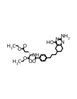 CCOC(=O)CC[C@H](NC(=O)c1ccc(CCCC2CCc3nc(N)nc(O)c3C2)cc1)C(=O)OCC